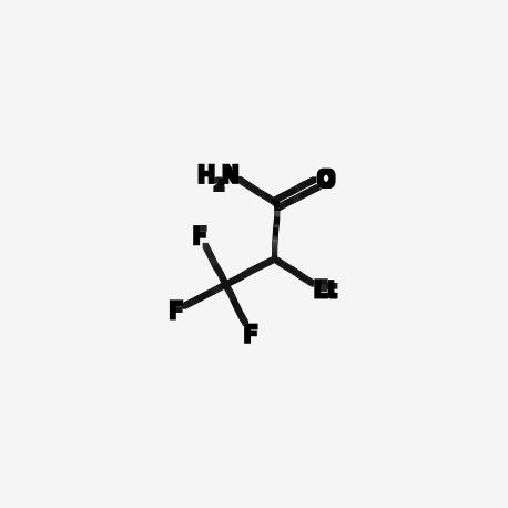 CCC(C(N)=O)C(F)(F)F